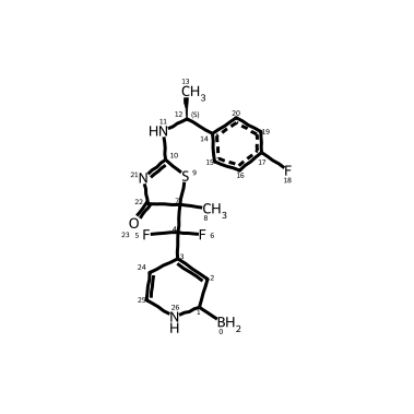 BC1C=C(C(F)(F)C2(C)SC(N[C@@H](C)c3ccc(F)cc3)=NC2=O)C=CN1